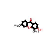 COc1ccc2c(=O)c3ccc(O)c(OC)c3oc2c1